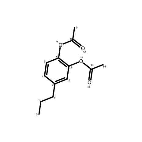 CCCc1ccc(OC(C)=O)c(OC(C)=O)c1